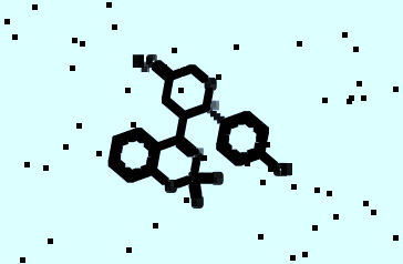 C=C1CO[C@H](c2ccc(C#N)cc2)C(C2=NS(=O)(=O)Oc3ccccc32)C1